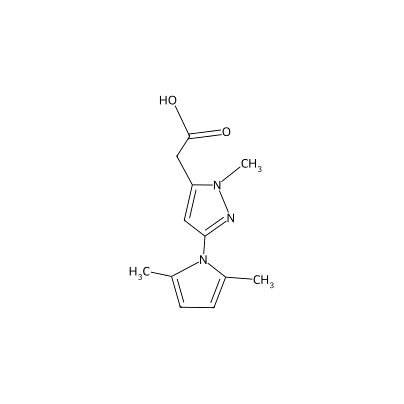 Cc1ccc(C)n1-c1cc(CC(=O)O)n(C)n1